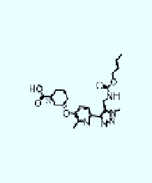 CCCCOC(=O)NCc1c(-c2ccc(O[C@H]3CCC[C@H](C(=O)O)C3)c(C)n2)nnn1C